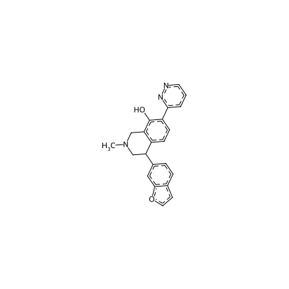 CN1Cc2c(ccc(-c3cccnn3)c2O)C(c2ccc3ccoc3c2)C1